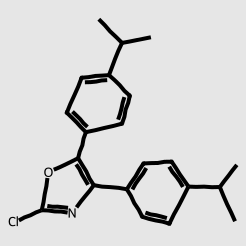 CC(C)c1ccc(-c2nc(Cl)oc2-c2ccc(C(C)C)cc2)cc1